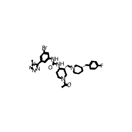 CC(=O)N1CC[C@@H](NC(=O)Nc2cc(Br)cc(-c3nnnn3C)c2)[C@H](CN2CCC[C@@H](Cc3ccc(F)cc3)C2)C1